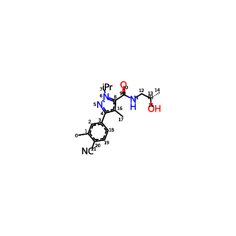 Cc1cc(-c2nn(C(C)C)c(C(=O)NC[C@H](C)O)c2C)ccc1C#N